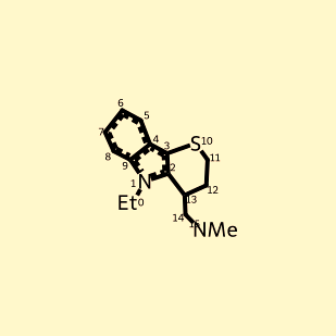 CCn1c2c(c3ccccc31)SCCC2CNC